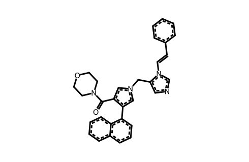 O=C(c1cn(Cc2cncn2C=Cc2ccccc2)cc1-c1cccc2ccccc12)N1CCOCC1